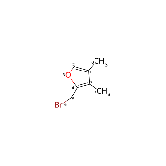 Cc1coc(CBr)c1C